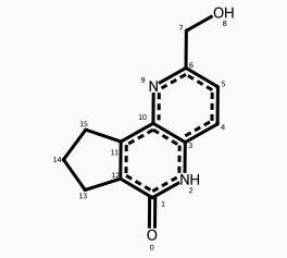 O=c1[nH]c2ccc(CO)nc2c2c1CCC2